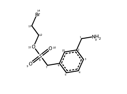 NCc1cccc(CS(=O)(=O)OCCBr)c1